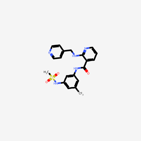 CS(=O)(=O)Nc1cc(NC(=O)c2cccnc2NCc2ccncc2)cc(C(F)(F)F)c1